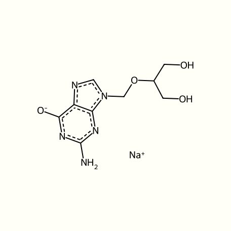 Nc1nc([O-])c2ncn(COC(CO)CO)c2n1.[Na+]